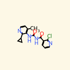 Cc1ccnc(C2CC2)c1NC(=O)NC(=O)c1cccnc1Cl